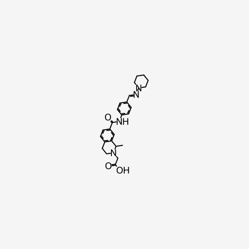 CC1c2cc(C(=O)Nc3ccc(C=NN4CCCCC4)cc3)ccc2CCN1CC(=O)O